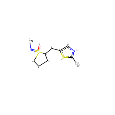 N#CN=S1(=O)CCCC1Cc1cnc(C(F)(F)F)s1